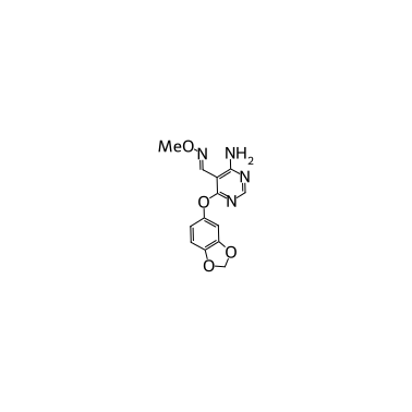 CON=Cc1c(N)ncnc1Oc1ccc2c(c1)OCO2